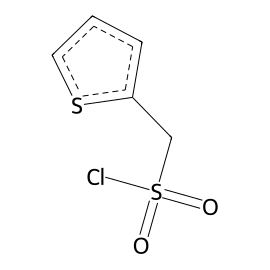 O=S(=O)(Cl)Cc1cccs1